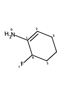 NC1=CCCCC1F